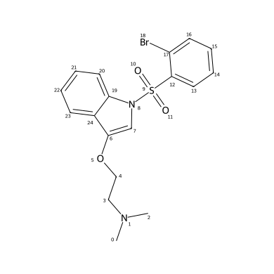 CN(C)CCOc1cn(S(=O)(=O)c2ccccc2Br)c2ccccc12